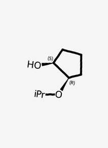 CC(C)O[C@@H]1CCC[C@@H]1O